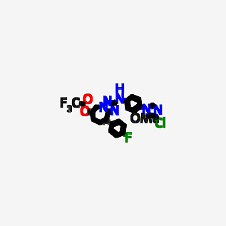 COc1cc(Nc2nc3n(n2)C[C@H](OC(=O)C(F)(F)F)CC[C@H]3c2ccc(F)cc2)ccc1-n1cnc(Cl)c1